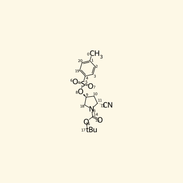 Cc1ccc(S(=O)(=O)O[C@H]2C[C@H](C#N)N(C(=O)OC(C)(C)C)C2)cc1